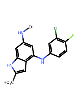 CCNc1cc(Nc2ccc(F)c(Cl)c2)c2cc(C(=O)O)[nH]c2c1